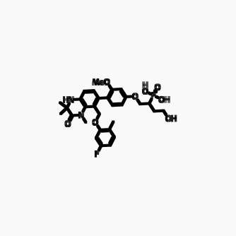 COc1cc(OCC(CCO)P(=O)(O)O)ccc1-c1ccc2c(c1COc1cc(F)ccc1C)N(C)C(=O)C(C)(C)N2